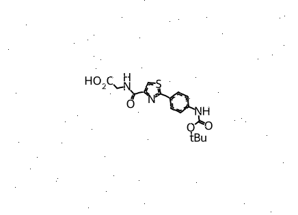 CC(C)(C)OC(=O)Nc1ccc(-c2nc(C(=O)NCC(=O)O)cs2)cc1